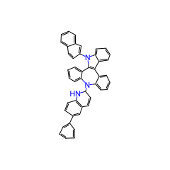 C1=CC(N2c3ccccc3-c3c(n(-c4ccc5ccccc5c4)c4ccccc34)-c3ccccc32)Nc2ccc(-c3ccccc3)cc21